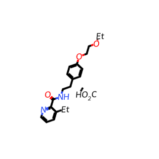 CC(=O)O.CCOCCOc1ccc(CCNC(=O)c2ncccc2CC)cc1